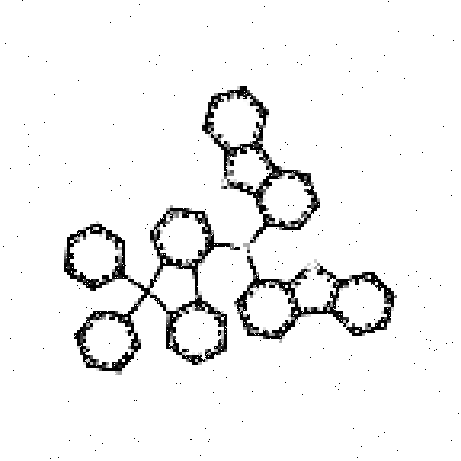 c1ccc(C2(c3ccccc3)c3ccccc3-c3c(N(c4cccc5c4oc4ccccc45)c4cccc5c4oc4ccccc45)cccc32)cc1